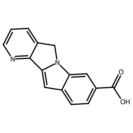 O=C(O)c1ccc2cc3n(c2c1)Cc1cccnc1-3